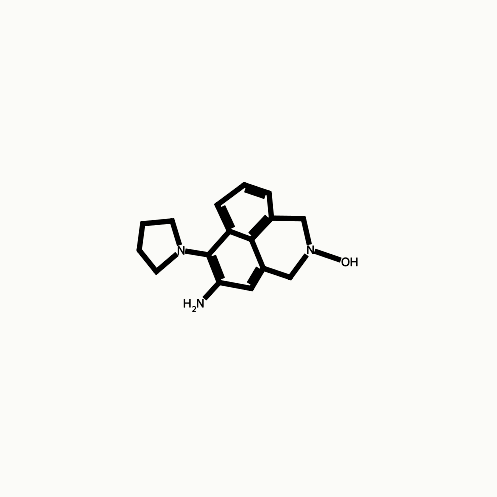 Nc1cc2c3c(cccc3c1N1CCCC1)CN(O)C2